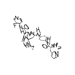 N[C@H](Cc1cccnc1)C(=O)NC1CCC(Nc2cc(NC3CC3)c3ncc(C(=O)Nc4ccncc4F)n3n2)CC1